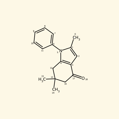 Cc1cc2c(n1-c1cc[c]cc1)CC(C)(C)CC2=O